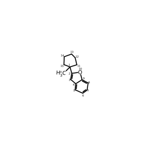 CC1(c2cc3ccccc3o2)CCCCC1